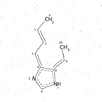 C/C=C/C=c1/nc[nH]/c1=C/C